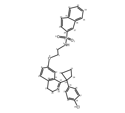 O=S(=O)(NCCOc1ccc2c(c1)C(C1(c3ccc(Cl)cc3)CCC1)=NCC2)c1ccc2ccccc2c1